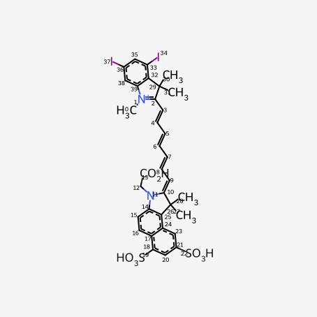 C[N+]1=C(/C=C/C=C/C=C/C=C2\N(CC(=O)O)c3ccc4c(S(=O)(=O)O)cc(S(=O)(=O)O)cc4c3C2(C)C)C(C)(C)c2c(I)cc(I)cc21